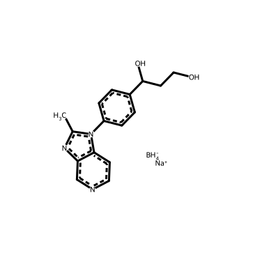 Cc1nc2cnccc2n1-c1ccc(C(O)CCO)cc1.[BH4-].[Na+]